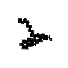 CCSCCCOc1cc(OC)ccc1-c1nc2ncccc2[nH]1.Cl